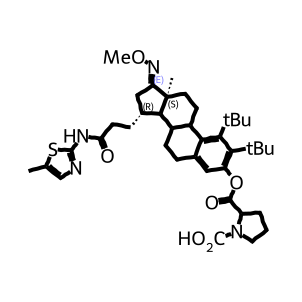 CO/N=C1\C[C@@H](CCC(=O)Nc2ncc(C)s2)C2C3CCc4cc(OC(=O)C5CCCN5C(=O)O)c(C(C)(C)C)c(C(C)(C)C)c4C3CC[C@]12C